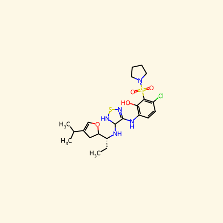 CC[C@@H](NC1NSN=C1Nc1ccc(Cl)c(S(=O)(=O)N2CCCC2)c1O)C1CC(C(C)C)=CO1